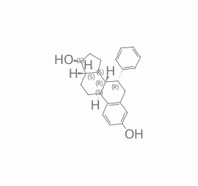 Oc1ccc2c(c1)C[C@@H](c1ccccc1)[C@H]1[C@@H]3CC[C@H](O)[C@H]3CC[C@H]21